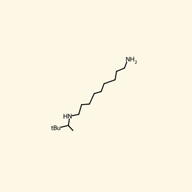 CC(NCCCCCCCCCN)C(C)(C)C